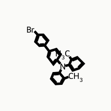 Cc1ccccc1N(c1ccc(-c2ccc(Br)cc2)cc1)c1ccccc1C